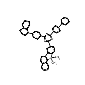 C[Si]1(C)c2ccc(-c3nc(-c4ccc(-c5ccccc5)cc4)nc(-c4ccc(-c5cccc6ccccc56)cc4)n3)cc2-c2ccc3ccccc3c21